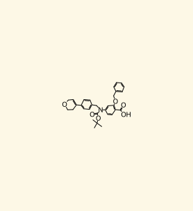 CC(C)(C)OC(=O)N(Cc1ccc(C2=CCOCC2)cc1)c1ccc(C(=O)O)c(OCc2ccccc2)c1